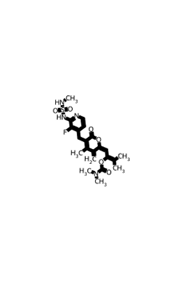 C=c1c(C)c(Cc2ccnc(NS(=O)(=O)NC)c2F)c(=O)o/c1=C/C(OC(=O)N(C)C)=C(C)C